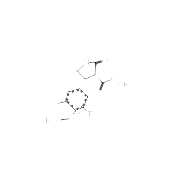 COC(=O)[C@@H]1C(=O)NC[C@H]1c1cc(F)c(OC)c(F)c1